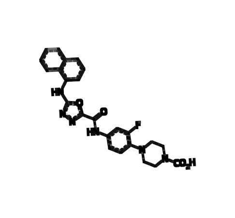 O=C(Nc1ccc(N2CCN(C(=O)O)CC2)c(F)c1)c1nnc(Nc2cccc3ccccc23)o1